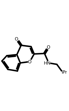 CC(C)CNC(=O)c1cc(=O)c2ccccc2o1